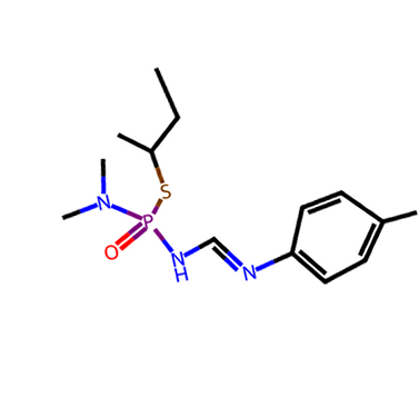 CCC(C)SP(=O)(NC=Nc1ccc(C)cc1)N(C)C